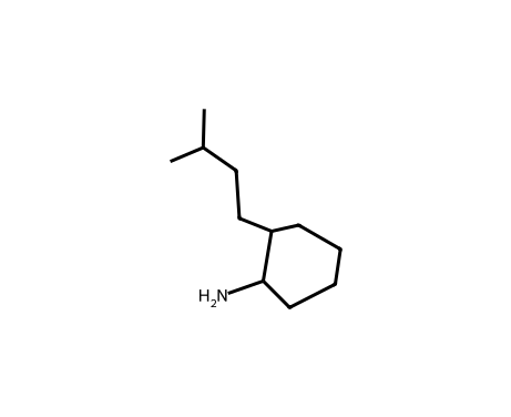 CC(C)CCC1CCCCC1N